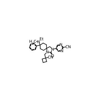 CCN(C)C1(c2ccccc2)CCC2(CC1)CN(c1cnc(C#N)nc1)C(=O)N2CC1(C#N)CCC1